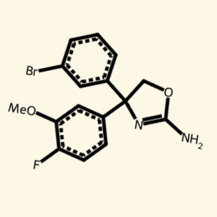 COc1cc(C2(c3cccc(Br)c3)COC(N)=N2)ccc1F